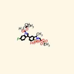 CC1c2cc(-c3cn(C(=O)OC(C)(C)C)c4cc(F)ccc34)ccc2S(O)(O)N1CCOS(C)(=O)=O